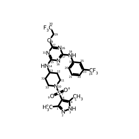 Cc1n[nH]c(C)c1S(=O)(=O)N1CCC(Nc2nc(Nc3cccc(C(F)(F)F)c3)nc(OCC(F)(F)F)n2)CC1